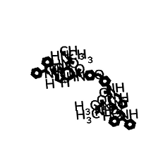 CN[C@@H](C)C(=O)N[C@H]1CN(C(=O)Nc2ccc(Oc3ccc(NC(=O)N4CC[C@H]5CC[C@@H](C(=O)NC(c6ccccc6)c6ccccc6)N5C(=O)[C@@H](NC(=O)[C@H](C)NC)C4)cc3)cc2)CC[C@H]2CCC(C(=O)NC(c3ccccc3)c3ccccc3)N2C1=O